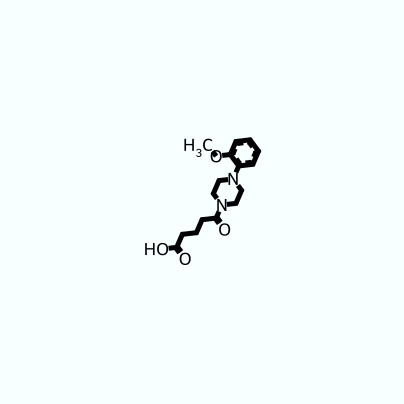 COc1ccccc1N1CCN(C(=O)CCCC(=O)O)CC1